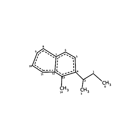 CCC(C)c1ccc2ccccc2c1C